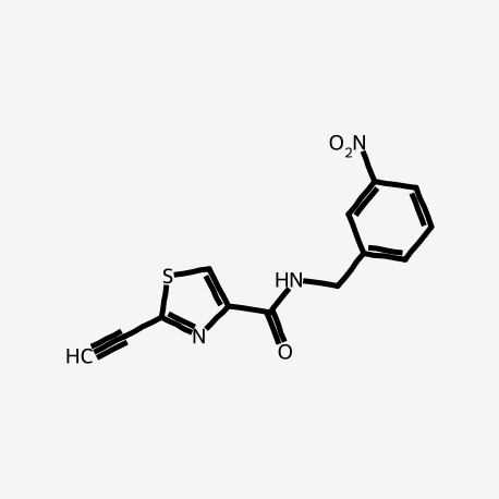 C#Cc1nc(C(=O)NCc2cccc([N+](=O)[O-])c2)cs1